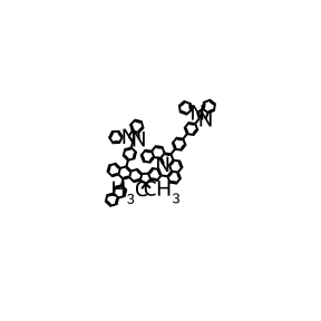 CC1(C)c2cc(-c3cccc4ccc5c(-c6ccc(-c7ccc(-c8nc9ccccc9n8-c8ccccc8)cc7)cc6)c6ccc7ccccc7c6nc5c34)ccc2-c2cc3c(-c4ccc(-c5nc6ccccc6n5-c5ccccc5)cc4)c4ccccc4c(-c4ccc5ccccc5c4)c3cc21